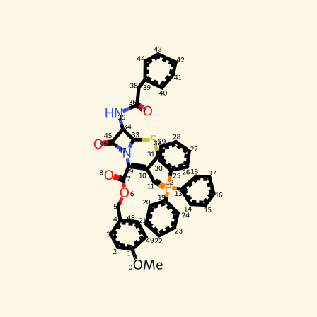 COc1ccc(COC(=O)C2=C(C=P(c3ccccc3)(c3ccccc3)c3ccccc3)CSC3C(NC(=O)Cc4ccccc4)C(=O)N23)cc1